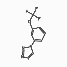 FC(F)(F)Oc1cccc(-n2c[c]nn2)c1